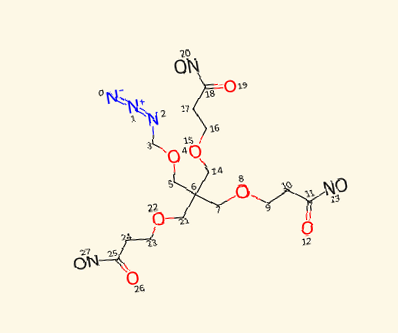 [N-]=[N+]=NCOCC(COCCC(=O)N=O)(COCCC(=O)N=O)COCCC(=O)N=O